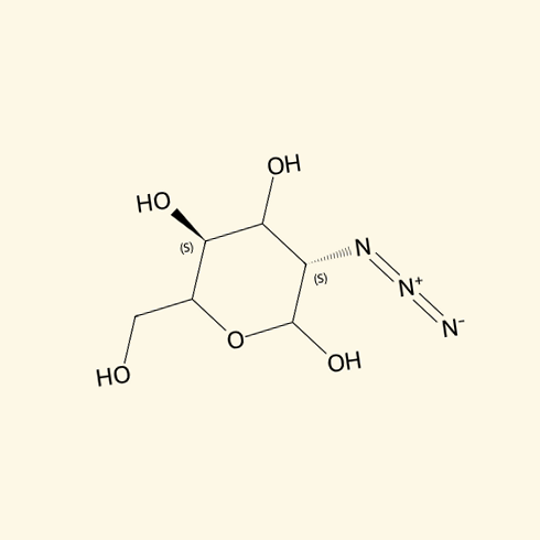 [N-]=[N+]=N[C@@H]1C(O)OC(CO)[C@@H](O)C1O